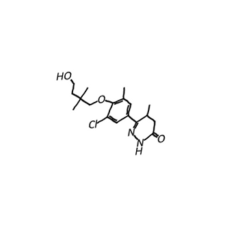 Cc1cc(C2=NNC(=O)CC2C)cc(Cl)c1OCC(C)(C)CCO